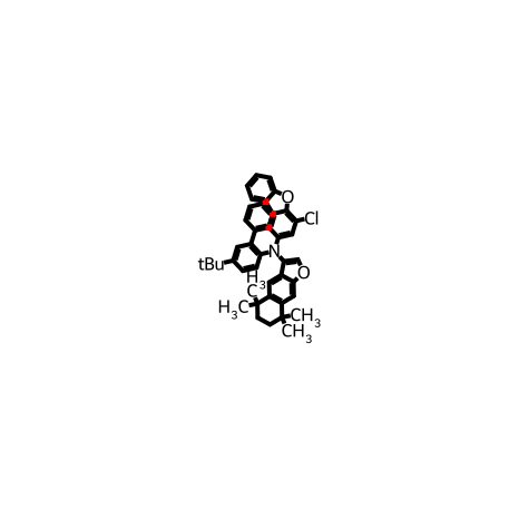 CC(C)(C)c1ccc(N(c2cc(Cl)c3oc4ccccc4c3c2)c2coc3cc4c(cc23)C(C)(C)CCC4(C)C)c(-c2ccccc2)c1